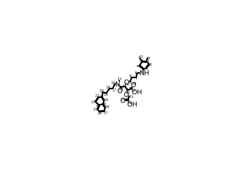 Cc1ccc(NCCCCO[C@@H](C(=O)N(C)CCCCCc2ccc3ccccc3c2)[C@@H](OCC(=O)O)C(=O)O)cc1C